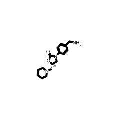 NCc1ccc(N2C[C@H](CN3CCCCC3)OC2=O)cc1